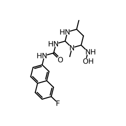 CC1CC(NO)N(C)C(NC(=O)Nc2ccc3ccc(F)cc3c2)N1